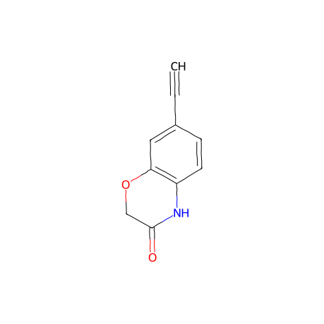 C#Cc1ccc2c(c1)OCC(=O)N2